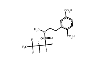 CN(CCc1cc(C(=O)O)ccc1C(=O)O)S(=O)(=O)C(F)(F)C(F)(F)C(F)(F)C(F)(F)F